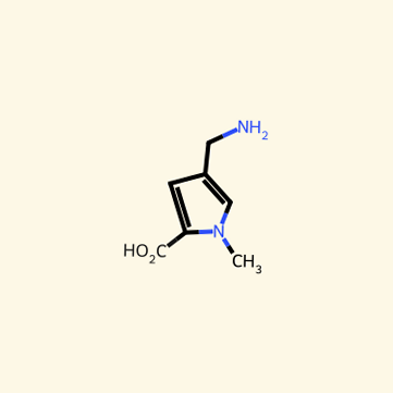 Cn1cc(CN)cc1C(=O)O